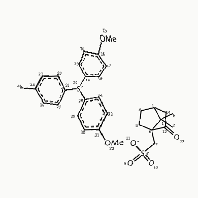 CC1(C)C2CCC1(CS(=O)(=O)[O-])C(=O)C2.COc1ccc([S+](c2ccc(C)cc2)c2ccc(OC)cc2)cc1